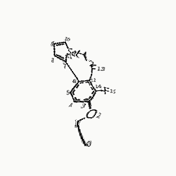 CCOc1ccc(C2=CC=C[SeH2]2)c(F)c1F